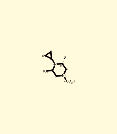 C[C@@H]1CN(C(=O)O)CC(O)N1C1CC1